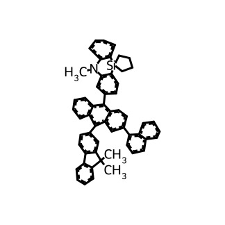 CN1c2ccccc2[Si]2(CCCC2)c2ccc(-c3c4ccccc4c(-c4ccc5c(c4)C(C)(C)c4ccccc4-5)c4cc(-c5cccc6ccccc56)ccc34)cc21